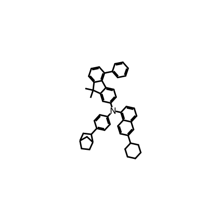 CC1(C)c2cc(N(c3ccc(C4CC5CCC4C5)cc3)c3cccc4cc(C5CCCCC5)ccc34)ccc2-c2c(-c3ccccc3)cccc21